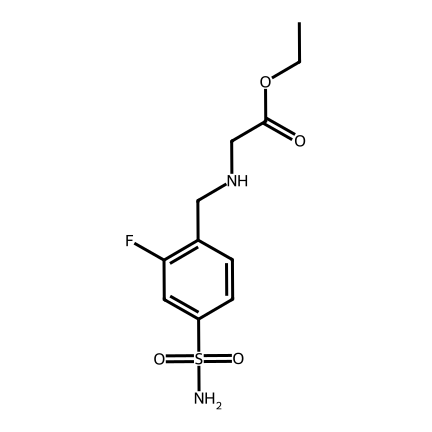 CCOC(=O)CNCc1ccc(S(N)(=O)=O)cc1F